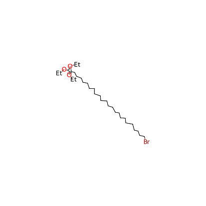 CCO[Si](CCCCCCCCCCCCCCCCCCCCCCCBr)(OCC)OCC